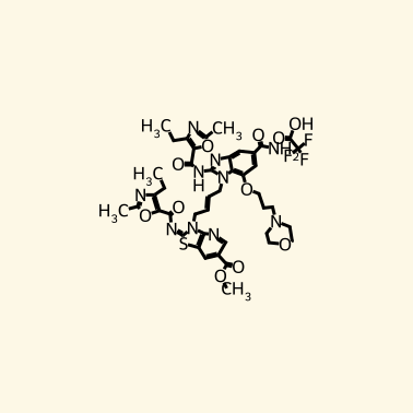 CCc1nc(C)oc1C(=O)/N=c1/sc2cc(C(=O)OC)cnc2n1C/C=C/Cn1c(NC(=O)c2oc(C)nc2CC)nc2cc(C(N)=O)cc(OCCCN3CCOCC3)c21.O=C(O)C(F)(F)F